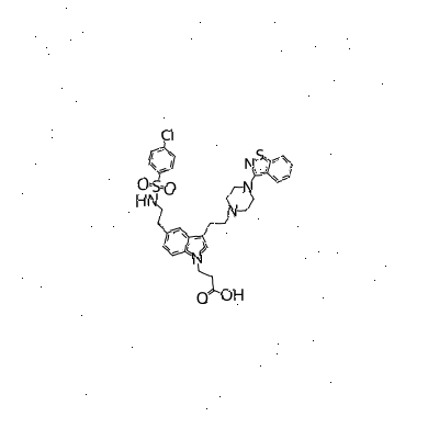 O=C(O)CCn1cc(CCN2CCN(c3nsc4ccccc34)CC2)c2cc(CCNS(=O)(=O)c3ccc(Cl)cc3)ccc21